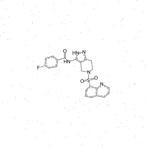 O=C(Nc1[nH]nc2c1CN(S(=O)(=O)c1cccc3cccnc13)CC2)c1ccc(F)cc1